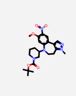 COc1cc2c(cc1[N+](=O)[O-])-c1cnn(C)c1CCN2C1CCCN(C(=O)OC(C)(C)C)C1